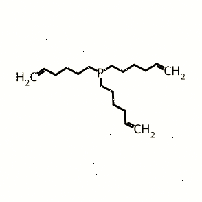 C=CCCCCP(CCCCC=C)CCCCC=C